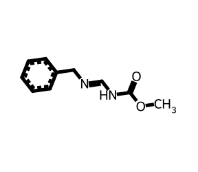 COC(=O)NC=NCc1ccccc1